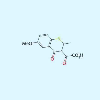 COc1ccc2c(c1)C(=O)C(C(=O)C(=O)O)C(C)S2